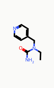 CCN(Cc1ccncc1)C(N)=O